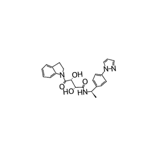 C[C@@H](NC(=O)[C@H](O)[C@@H](O)C(=O)N1CCc2ccccc21)c1ccc(-n2cccn2)cc1